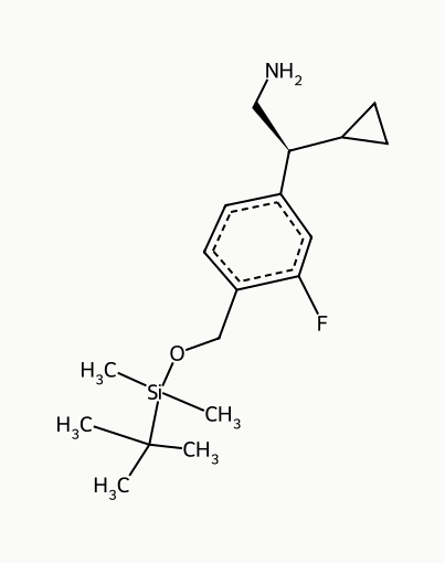 CC(C)(C)[Si](C)(C)OCc1ccc([C@@H](CN)C2CC2)cc1F